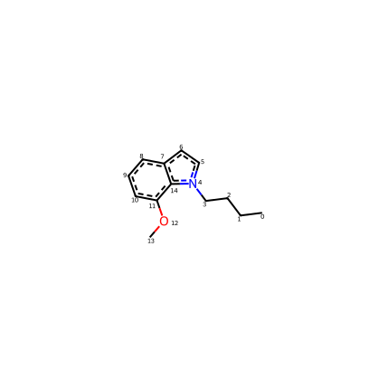 CCCCn1ccc2cccc(OC)c21